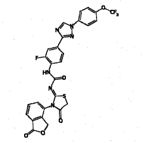 O=C(/N=C1\SCC(=O)N1c1cccc2c1COC2=O)Nc1ccc(-c2ncn(-c3ccc(OC(F)(F)F)cc3)n2)cc1F